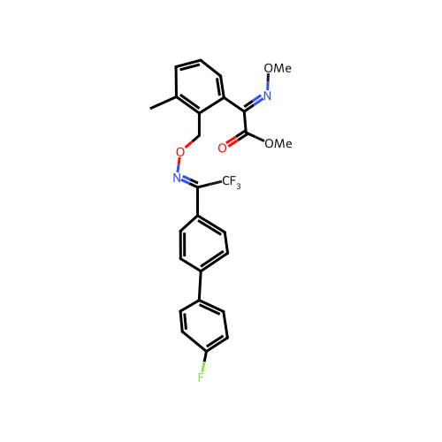 CO/N=C(/C(=O)OC)c1cccc(C)c1CO/N=C(/c1ccc(-c2ccc(F)cc2)cc1)C(F)(F)F